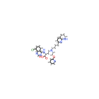 O=C(O)[C@H](CCN(CCCCc1ccc2c(n1)NCCC2)CCOc1ccccn1)Nc1ncnc2c(Cl)cccc12